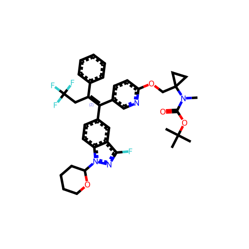 CN(C(=O)OC(C)(C)C)C1(COc2ccc(/C(=C(/CC(F)(F)F)c3ccccc3)c3ccc4c(c3)c(F)nn4C3CCCCO3)cn2)CC1